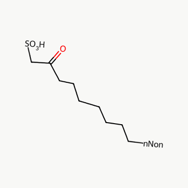 CCCCCCCCCCCCCCCCC(=O)CS(=O)(=O)O